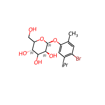 Cc1cc(Br)c(C(C)C)cc1O[C@@H]1OC(CO)[C@@H](O)C(O)[C@@H]1O